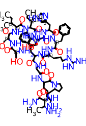 CC[C@H](C)C(NC(=O)[C@@H](NC(=O)[C@H](CO)NC(=O)[C@@H](N)CO)[C@@H](C)CC)C(=O)N[C@@H](CO)C(=O)NC(Cc1c[nH]cn1)C(=O)N[C@@H](Cc1ccccc1)C(=O)N[C@@H](CCCNC(=N)N)C(=O)NC(Cc1c[nH]c2ccccc12)C(=O)NCC(=O)NC(CCCCN)C(=O)N1CCCC1C(=O)N[C@H](C(N)=O)C(C)N